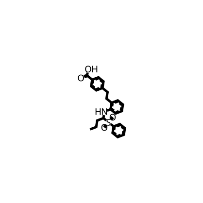 CCCC(Nc1ccccc1CCc1ccc(C(=O)O)cc1)S(=O)(=O)c1ccccc1